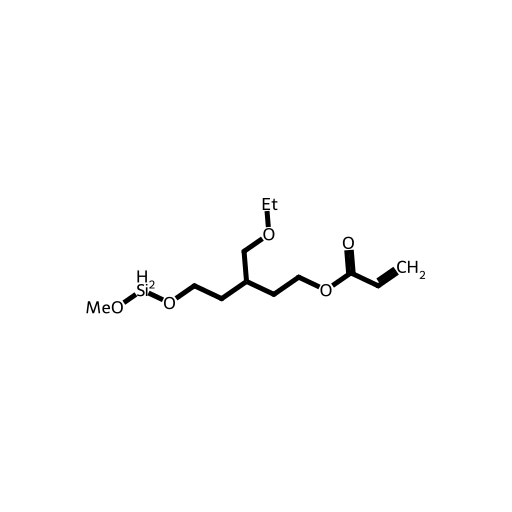 C=CC(=O)OCCC(CCO[SiH2]OC)COCC